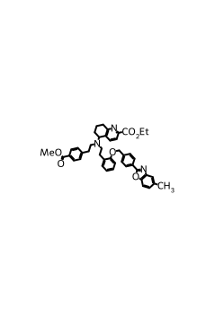 CCOC(=O)c1ccc2c(n1)CCCC2N(CCc1ccc(C(=O)OC)cc1)CCc1ccccc1OCc1ccc(-c2nc3cc(C)ccc3o2)cc1